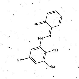 CCCc1cc(N/N=C2/C=CC=CC2=N)c(O)c(C(C)(C)C)c1